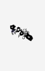 CC/C=C(/C1CCCC1)N1CCN(Cc2cc(F)cc(NC(=O)c3ccccc3Cl)c2C)CC1